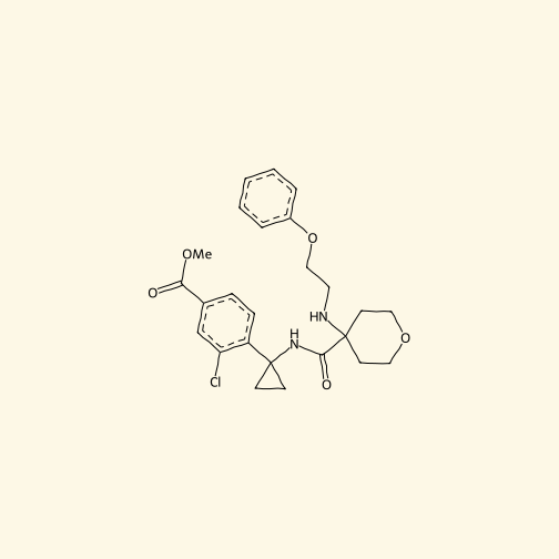 COC(=O)c1ccc(C2(NC(=O)C3(NCCOc4ccccc4)CCOCC3)CC2)c(Cl)c1